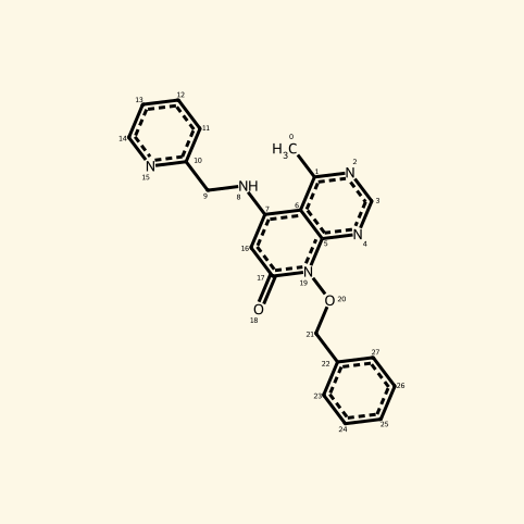 Cc1ncnc2c1c(NCc1ccccn1)cc(=O)n2OCc1ccccc1